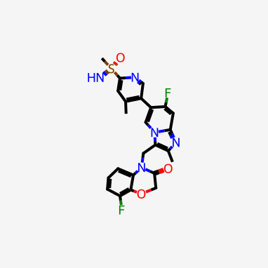 Cc1cc(S(C)(=N)=O)ncc1-c1cn2c(CN3C(=O)COc4c(F)cccc43)c(C)nc2cc1F